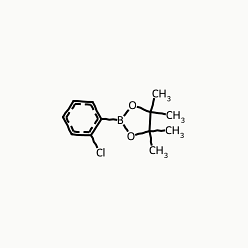 CC1(C)OB(c2ccccc2Cl)OC1(C)C